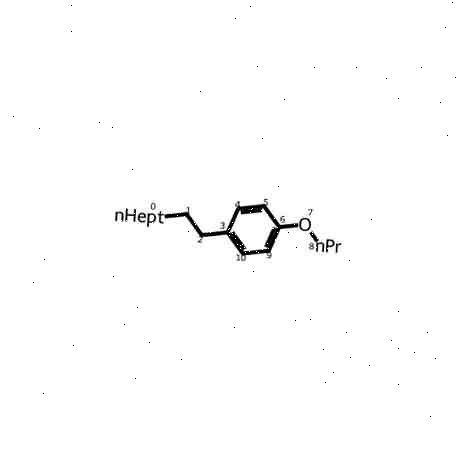 CCCCCCCCCc1ccc(OCCC)cc1